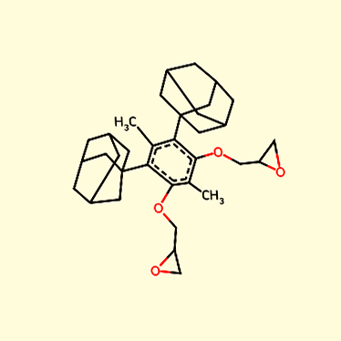 Cc1c(OCC2CO2)c(C23CC4CC(CC(C4)C2)C3)c(C)c(C23CC4CC(CC(C4)C2)C3)c1OCC1CO1